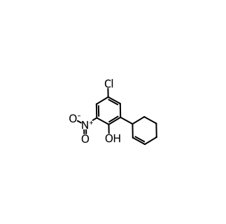 O=[N+]([O-])c1cc(Cl)cc(C2C=CCCC2)c1O